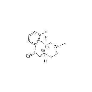 CN1CC[C@H]2CC(=O)c3cccc(F)c3[C@H]2C1